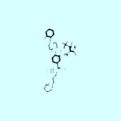 Cc1ccccc1N1CCN(c2ccc(C(=O)NCCCN3CCCC3=O)cc2NC(=O)c2c(C(C)(C)C)noc2C)CC1